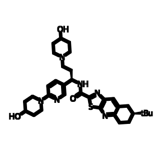 CC(C)(C)[C@H]1CCc2nc3sc(C(=O)N[C@H](CCN4CCC(O)CC4)c4ccc(N5CCC(O)CC5)nc4)nc3cc2C1